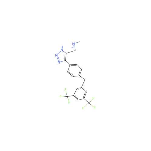 C/N=C/c1[nH]nnc1-c1ccc(Cc2cc(C(F)(F)F)cc(C(F)(F)F)c2)cc1